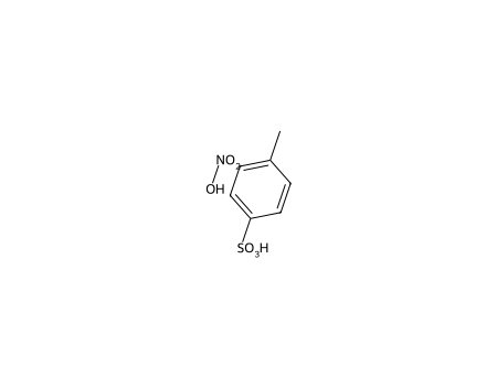 Cc1ccc(S(=O)(=O)O)cc1.O=[N+]([O-])O